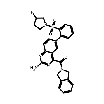 Nc1nc(C(=O)N2Cc3ccccc3C2)c2cc(-c3ccccc3S(=O)(=O)N3CCC(F)C3)ccc2n1